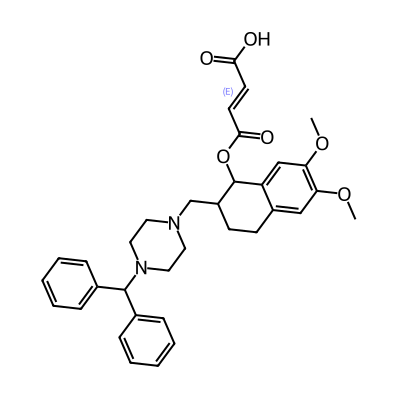 COc1cc2c(cc1OC)C(OC(=O)/C=C/C(=O)O)C(CN1CCN(C(c3ccccc3)c3ccccc3)CC1)CC2